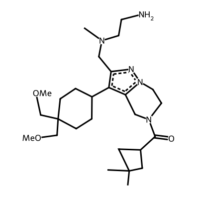 COCC1(COC)CCC(c2c(CN(C)CCN)nn3c2CN(C(=O)C2CC(C)(C)C2)CC3)CC1